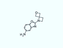 Nc1ccc2oc(N3CCC34COC4)nc2c1